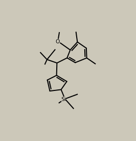 COc1c(C)cc(C)cc1C(C1=CC([Si](C)(C)C)C=C1)C(C)(C)C